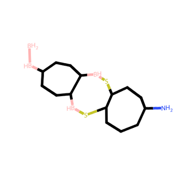 BBC1CCC2BSC3CCCC(N)CCC3SBC2CC1